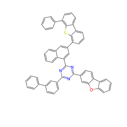 c1ccc(-c2cccc(-c3nc(-c4ccc5c(c4)oc4ccccc45)nc(-c4cc(-c5cccc6c5sc5c(-c7ccccc7)cccc56)cc5ccccc45)n3)c2)cc1